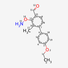 CCOc1ccc(-c2ccc(C=O)c(ON)c2C)cc1